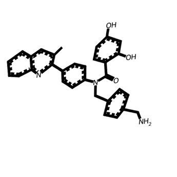 Cc1cc2ccccc2nc1-c1ccc(N(Cc2ccc(CN)cc2)C(=O)c2ccc(O)cc2O)cc1